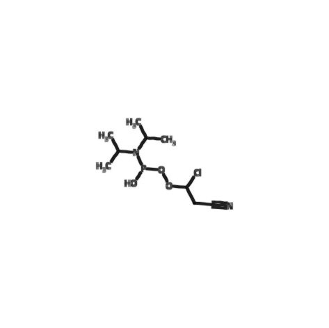 CC(C)N(C(C)C)P(O)OOC(Cl)CC#N